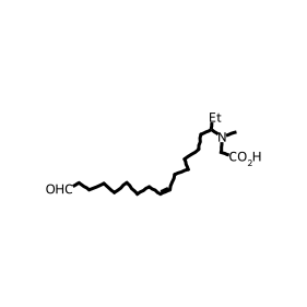 CCC(CCCCC/C=C\CCCCCCCC=O)N(C)CC(=O)O